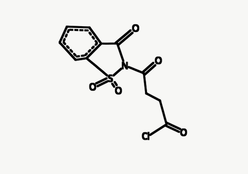 O=C(Cl)CCC(=O)N1C(=O)c2ccccc2S1(=O)=O